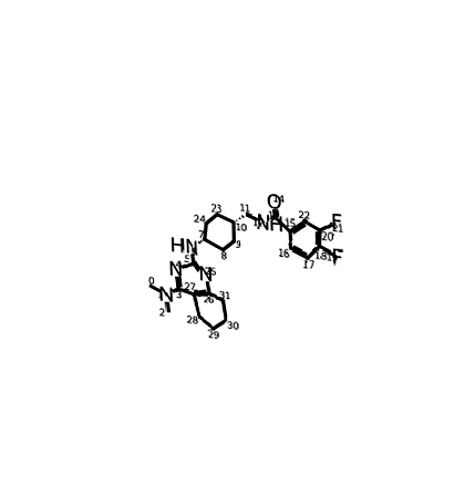 CN(C)c1nc(N[C@H]2CC[C@@H](CNC(=O)c3ccc(F)c(F)c3)CC2)nc2c1CCCC2